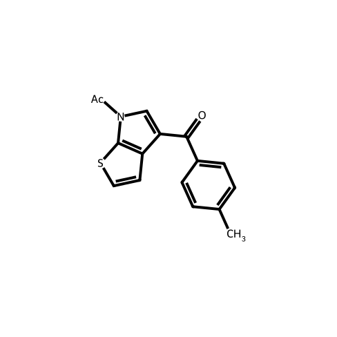 CC(=O)n1cc(C(=O)c2ccc(C)cc2)c2ccsc21